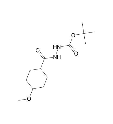 COC1CCC(C(=O)NNC(=O)OC(C)(C)C)CC1